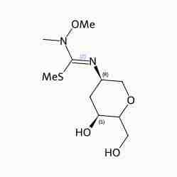 CON(C)/C(=N/[C@H]1COC(CO)[C@@H](O)C1)SC